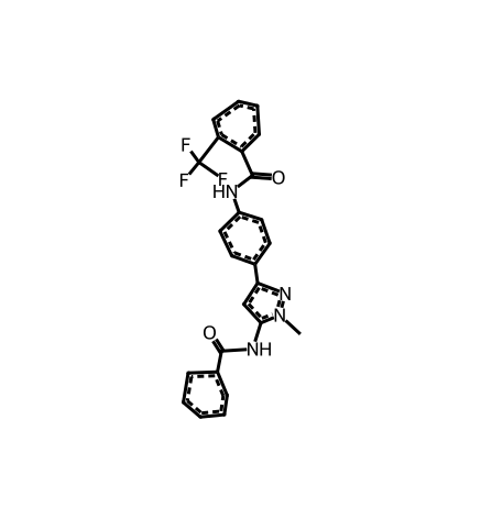 Cn1nc(-c2ccc(NC(=O)c3ccccc3C(F)(F)F)cc2)cc1NC(=O)c1ccccc1